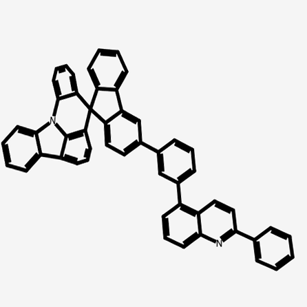 c1ccc(-c2ccc3c(-c4cccc(-c5ccc6c(c5)-c5ccccc5C65c6ccccc6-n6c7ccccc7c7cccc5c76)c4)cccc3n2)cc1